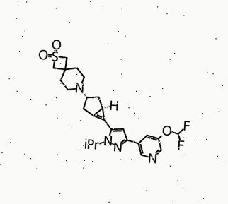 CC(C)n1nc(-c2cncc(OC(F)F)c2)cc1C1=C2C[C@H](N3CCC4(CC3)CS(=O)(=O)C4)C[C@H]21